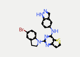 Brc1ccc2c(c1)CCN2c1nc(Nc2ccc3[nH]ncc3c2)c2sccc2n1